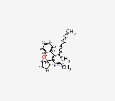 C=C=C=C=C=C(C)C1=C(/C=C/C)C2(CCCC2)Oc2ccccc21